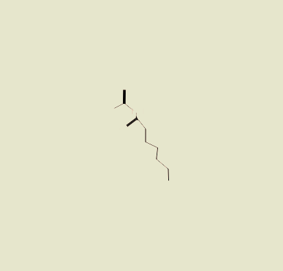 C=C(C)NC(=O)CCCCCC